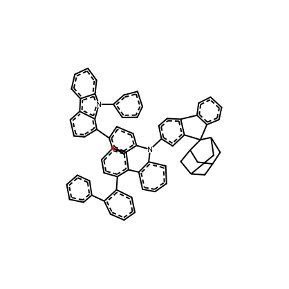 c1ccc(-c2ccccc2-c2ccccc2-c2ccccc2N(c2ccc(-c3cccc4c5ccccc5n(-c5ccccc5)c34)cc2)c2ccc3c(c2)C2(c4ccccc4-3)C3CC4CC(C3)CC2C4)cc1